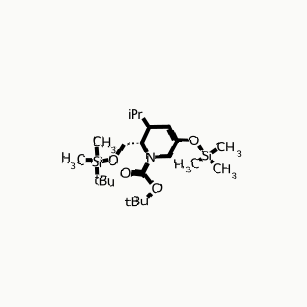 CC(C)C1C=C(O[Si](C)(C)C)CN(C(=O)OC(C)(C)C)[C@@H]1CO[Si](C)(C)C(C)(C)C